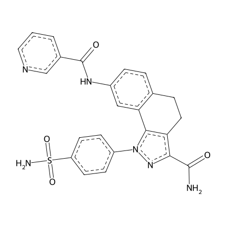 NC(=O)c1nn(-c2ccc(S(N)(=O)=O)cc2)c2c1CCc1ccc(NC(=O)c3cccnc3)cc1-2